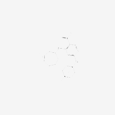 NC(=O)c1cnc(NC23CCC(F)(CC2)CC3)nc1NC1CCCC[C@H](O)C1